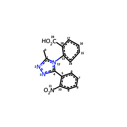 Cc1nnc(-c2ccccc2[N+](=O)[O-])n1-c1ccccc1C(=O)O